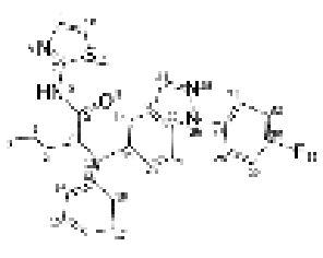 CCCC(C(=O)Nc1nccs1)C(c1ccccc1)c1ccc2c(cnn2-c2ccc(F)cc2)c1